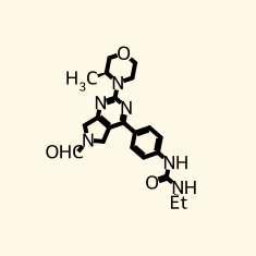 CCNC(=O)Nc1ccc(-c2nc(N3CCOC[C@@H]3C)nc3c2CN(C=O)C3)cc1